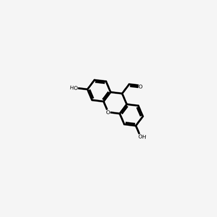 O=CC1c2ccc(O)cc2Oc2cc(O)ccc21